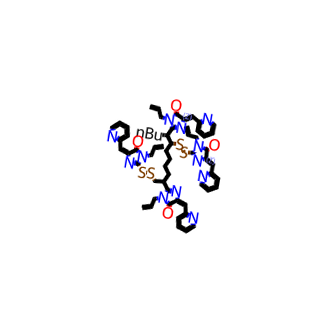 [CH2]CCCC(C1=N/C(=C\c2ccccn2)C(=O)N1CC=C)C(CCCCC(CSSC1=NC(=Cc2ccccn2)C(=O)N1CC=C)C1=NC(=Cc2ccccn2)C(=O)N1CC=C)SSC1=N/C(=C\c2ccccn2)C(=O)N1CC=C